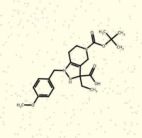 CCC1(C(=O)O)NN(Cc2ccc(OC)cc2)C2=C1CN(C(=O)OC(C)(C)C)CC2